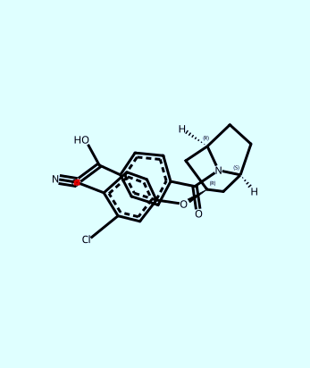 N#Cc1ccc(O[C@H]2C[C@H]3CC[C@@H](C2)N3C(=O)c2ccc(C(=O)O)cc2)cc1Cl